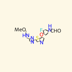 COCCNCc1cnc(-c2cc3nccc(Oc4ccc(NC=O)cc4F)c3s2)n1C